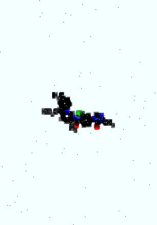 Cc1ccc2c(c1)c(C(=O)O)c1n2C[C@](C)(NC(=O)c2ccc(-n3cnn(C)c3=O)cc2Cl)CC1